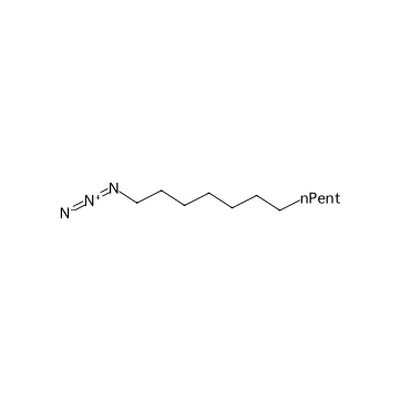 CCCCCCCCCCCCN=[N+]=[N-]